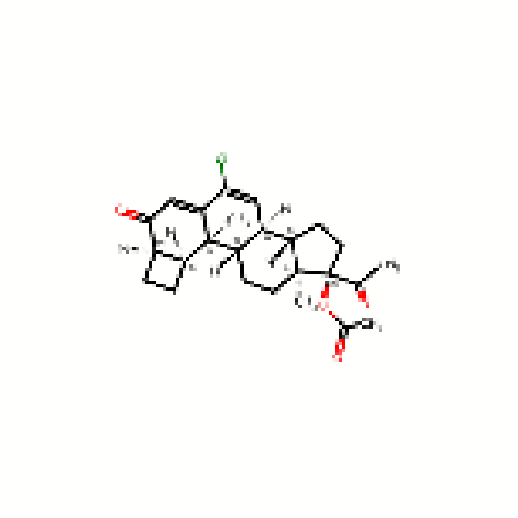 CC(=O)O[C@]1(C(C)=O)CC[C@H]2[C@@H]3C=C(Cl)C4=CC(=O)[C@@H]5CC[C@@H]5[C@]4(C)[C@H]3CC[C@@]21C